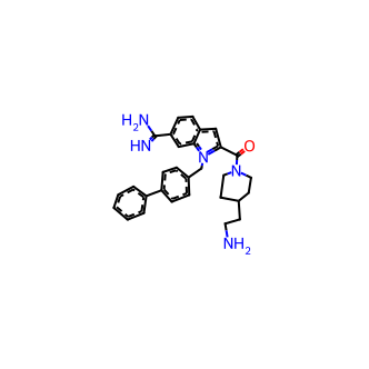 N=C(N)c1ccc2cc(C(=O)N3CCC(CCN)CC3)n(Cc3ccc(-c4ccccc4)cc3)c2c1